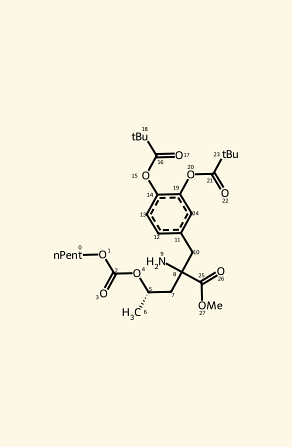 CCCCCOC(=O)O[C@@H](C)CC(N)(Cc1ccc(OC(=O)C(C)(C)C)c(OC(=O)C(C)(C)C)c1)C(=O)OC